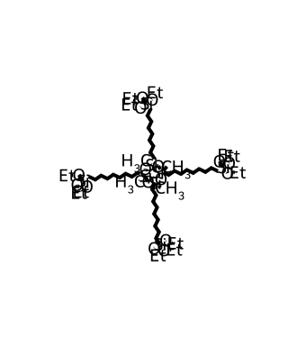 CCO[Si](CCCCCCCCC[Si]1(C)O[Si](C)(CCCCCCCCC[Si](OCC)(OCC)OCC)O[Si](C)(CCCCCCCCC[Si](OCC)(OCC)OCC)O[Si](C)(CCCCCCCCC[Si](OCC)(OCC)OCC)O1)(OCC)OCC